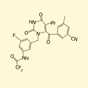 Cc1cc(C#N)cc(C(=O)c2c(C(C)C)c(=O)[nH]c(=O)n2Cc2cc(F)cc(NC(=O)C(F)(F)F)c2)c1